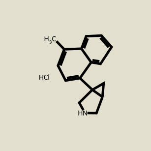 Cc1ccc(C23CNCC2C3)c2ccccc12.Cl